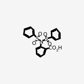 O=C(O)c1ccccc1N(S(=O)(=O)c1ccccc1)S(=O)(=O)c1ccccc1